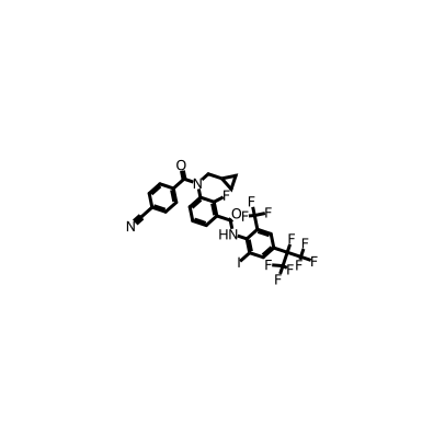 N#Cc1ccc(C(=O)N(CC2CC2)c2cccc(C(=O)Nc3c(I)cc(C(F)(C(F)(F)F)C(F)(F)F)cc3C(F)(F)F)c2F)cc1